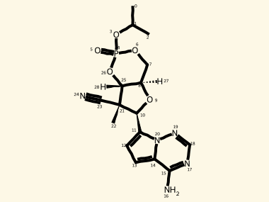 CC(C)OP1(=O)OC[C@H]2O[C@@H](c3ccc4c(N)ncnn34)[C@](C)(C#N)[C@@H]2O1